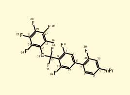 CCCc1ccc(-c2cc(F)c(C(F)(F)Oc3c(C)c(F)c(F)c(F)c3F)c(F)c2)c(F)c1